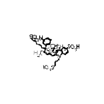 C=C(/C=C/C=C1/N(CCCS(=O)(=O)O)c2ccc(S(=O)(=O)O)cc2C1(C)C)C(C)(CCCCCC(=O)O)c1cc(S(=O)(=O)O)ccc1C